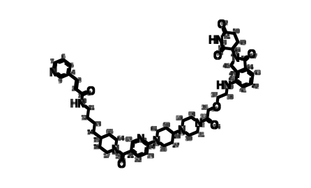 O=C(/C=C/c1cccnc1)NCCCCC1CCN(C(=O)c2ccc(N3CCC(N4CCN(C(=O)COCCNc5cccc6c5CN(C5CCC(=O)NC5=O)C6=O)CC4)CC3)nc2)CC1